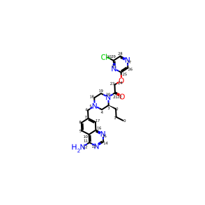 CCC[C@H]1CN(Cc2ccc3c(N)ncnc3c2)CCN1C(=O)COc1cncc(Cl)n1